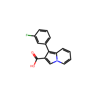 O=C(O)c1cn2ccccc2c1-c1cccc(F)c1